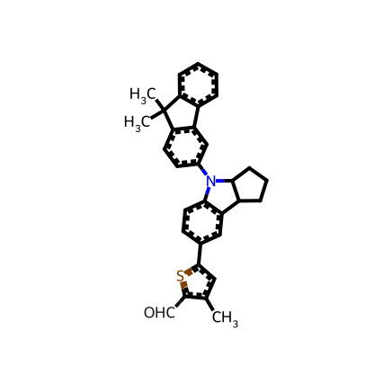 Cc1cc(-c2ccc3c(c2)C2CCCC2N3c2ccc3c(c2)-c2ccccc2C3(C)C)sc1C=O